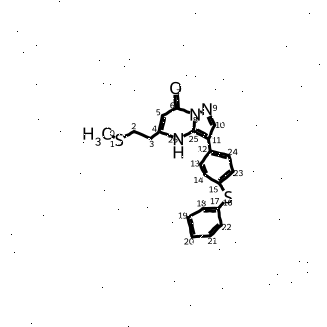 CSCCc1cc(=O)n2ncc(-c3ccc(Sc4ccccc4)cc3)c2[nH]1